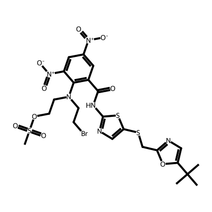 CC(C)(C)c1cnc(CSc2cnc(NC(=O)c3cc([N+](=O)[O-])cc([N+](=O)[O-])c3N(CCBr)CCOS(C)(=O)=O)s2)o1